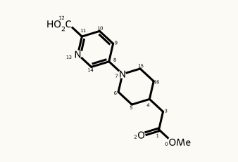 COC(=O)CC1CCN(c2ccc(C(=O)O)nc2)CC1